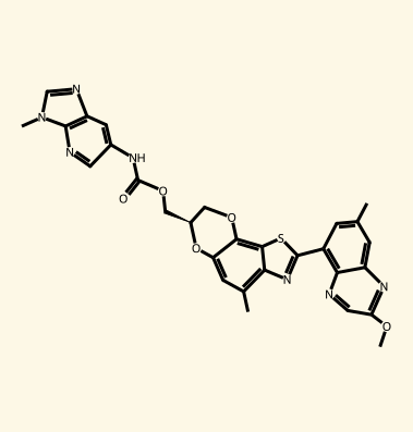 COc1cnc2c(-c3nc4c(C)cc5c(c4s3)OC[C@H](COC(=O)Nc3cnc4c(c3)ncn4C)O5)cc(C)cc2n1